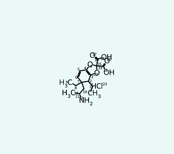 CCC1C2=C(C=CC1(CC)CC(C)N)OC(C(=O)O)(C(=O)O)O2.Cl